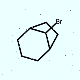 BrC1C2CCCC1CC2